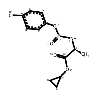 C[C@H](N[PH](=O)Oc1ccc(Cl)cc1)C(=O)OC1CC1